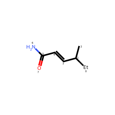 CCC(C)C=CC(N)=O